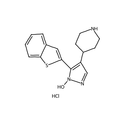 Cl.On1ncc(C2CCNCC2)c1-c1cc2ccccc2s1